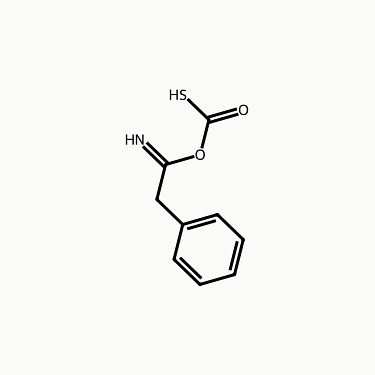 N=C(Cc1ccccc1)OC(=O)S